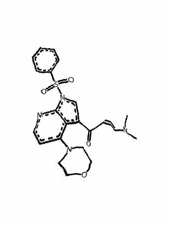 CN(C)/C=C/C(=O)c1cn(S(=O)(=O)c2ccccc2)c2nccc(N3CCOCC3)c12